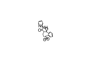 O=C(Nc1ccccn1)C1CCS(=O)(=O)c2ccccc2C1=O